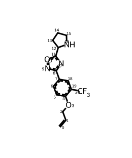 C=CCOc1ccc(-c2noc(C3CCCN3)n2)cc1C(F)(F)F